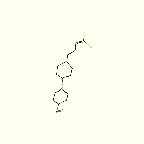 CCCCCCCCCCC1CCC(C2CCC(CCC=C(F)F)CC2)CC1